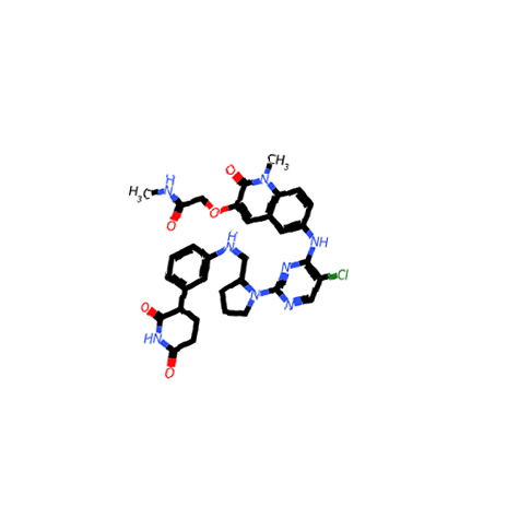 CNC(=O)COc1cc2cc(Nc3nc(N4CCCC4CNc4cccc(C5CCC(=O)NC5=O)c4)ncc3Cl)ccc2n(C)c1=O